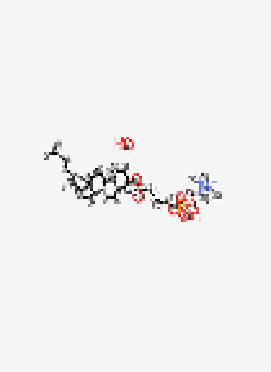 CC(C)CCC[C@@H](C)[C@H]1CCC2C3CC=C4C[C@@H](OC(=O)CCCOP(=O)(O)OCC[N+](C)(C)C)CC[C@]4(C)C3CC[C@@]21C.[OH-]